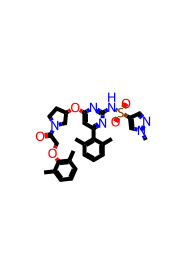 Cc1cccc(C)c1OCC(=O)N1CCC(Oc2cc(-c3c(C)cccc3C)nc(NS(=O)(=O)c3cnn(C)c3)n2)C1